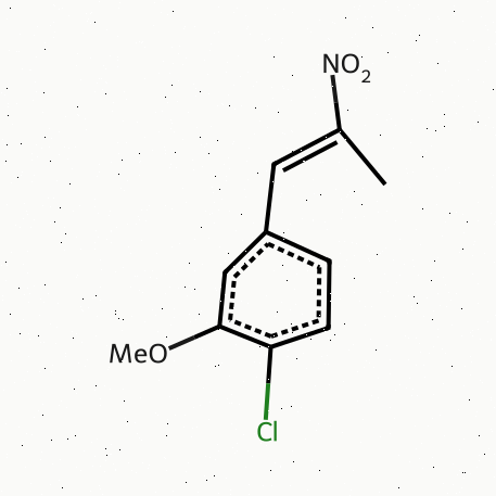 COc1cc(/C=C(\C)[N+](=O)[O-])ccc1Cl